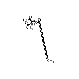 CCCCCCCCC=CCCCCCCCC(=O)SCC(NC(C)=O)C(=O)O